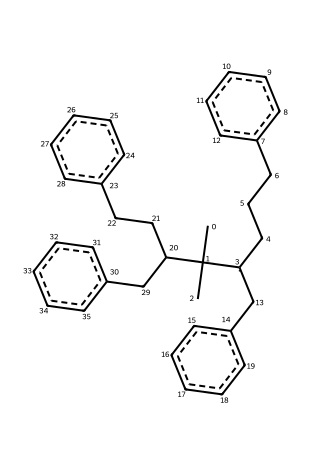 CC(C)([C](CCCc1ccccc1)Cc1ccccc1)C(CCc1ccccc1)Cc1ccccc1